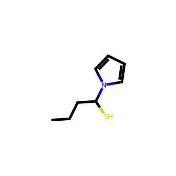 CCCC(S)n1cccc1